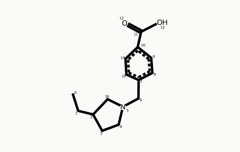 CCC1CCN(Cc2ccc(C(=O)O)cc2)C1